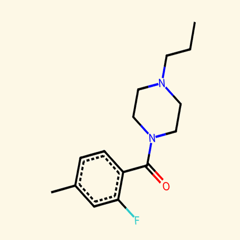 CCCN1CCN(C(=O)c2ccc(C)cc2F)CC1